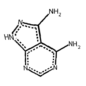 Nc1ncnc2[nH]nc(N)c12